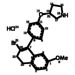 COc1ccc2c(c1)C(c1ccc(O[C@H]3CCNC3)cc1)=C(Br)CC2.Cl